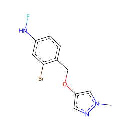 Cn1cc(OCc2ccc(NF)cc2Br)cn1